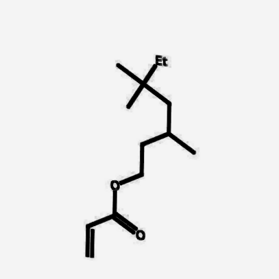 C=CC(=O)OCCC(C)CC(C)(C)CC